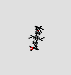 CCCCC(CC)COc1c2cc(-c3cnc(-c4cc5c(s4)-c4sccc4C5(CC(CC)CCCC)CC(CC)CCCC)c4nsnc34)sc2c(OCC(CC)CCCC)c2cc(-c3cnc(-c4cc5c(s4)-c4sccc4C5(CC(CC)CCCC)CC(CC)CCCC)c4nsnc34)sc12